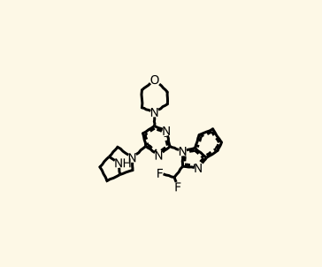 FC(F)c1nc2ccccc2n1-c1nc(N2CCOCC2)cc(N2CC3CCC(C2)N3)n1